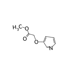 COC(=O)COc1cccnc1